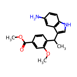 COC(=O)c1ccc(C(C)c2c[nH]c3ccc(N)cc23)c(OC)c1